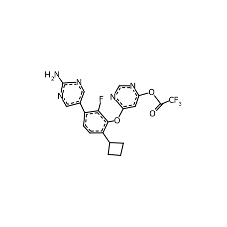 Nc1ncc(-c2ccc(C3CCC3)c(Oc3cc(OC(=O)C(F)(F)F)ncn3)c2F)cn1